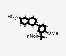 CCCCCCCCCC(C)(C)c1cc(-c2ccc3cc(C(=O)O)ccc3c2)ccc1OC